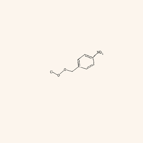 O=[N+]([O-])c1ccc(COOCl)cc1